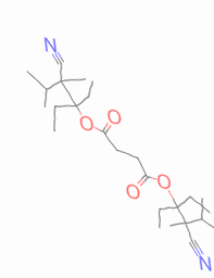 CCC(CC)(OC(=O)CCC(=O)OC(CC)(CC)C(C)(C#N)C(C)C)C(C)(C#N)C(C)C